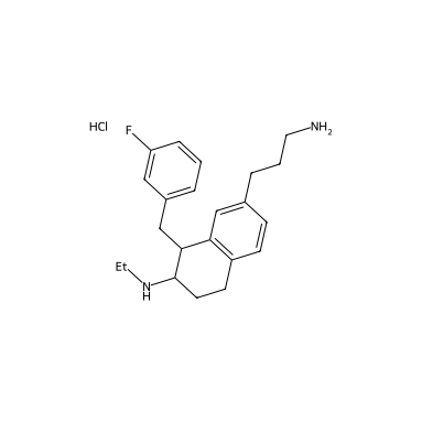 CCNC1CCc2ccc(CCCN)cc2C1Cc1cccc(F)c1.Cl